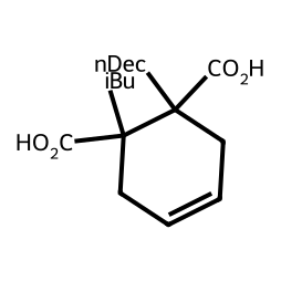 CCCCCCCCCCC1(C(=O)O)CC=CCC1(C(=O)O)C(C)CC